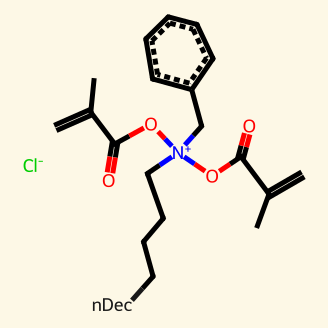 C=C(C)C(=O)O[N+](CCCCCCCCCCCCCC)(Cc1ccccc1)OC(=O)C(=C)C.[Cl-]